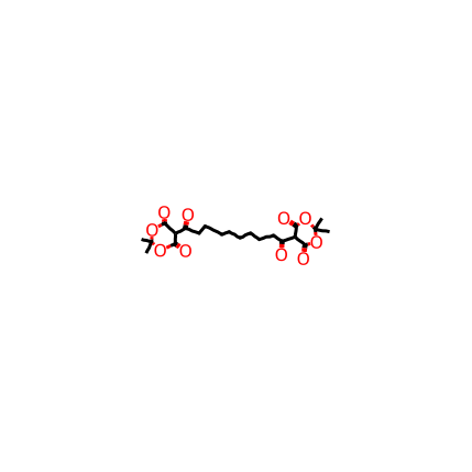 CC1(C)OC(=O)C(C(=O)CCCCCCCCC(=O)C2C(=O)OC(C)(C)OC2=O)C(=O)O1